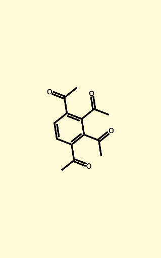 CC(=O)c1ccc(C(C)=O)c(C(C)=O)c1C(C)=O